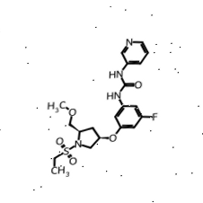 CCS(=O)(=O)N1C[C@H](Oc2cc(F)cc(NC(=O)Nc3cccnc3)c2)C[C@@H]1COC